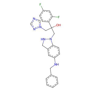 OC(CN1NCc2cc(NCc3ccccc3)ccc21)(Cn1cncn1)c1ccc(F)cc1F